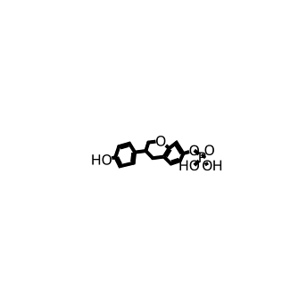 O=P(O)(O)Oc1ccc2c(c1)OCC(c1ccc(O)cc1)C2